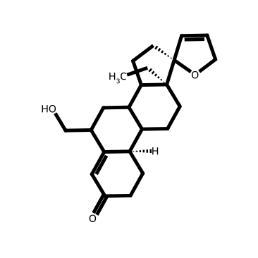 CC[C@]12CCC3C(CC(CO)C4=CC(=O)CC[C@@H]43)C1CC[C@@]21C=CCO1